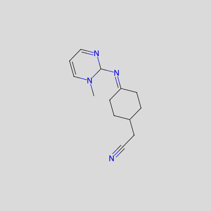 CN1C=CC=NC1N=C1CCC(CC#N)CC1